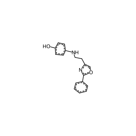 Oc1ccc(NCCc2coc(-c3ccccc3)n2)cc1